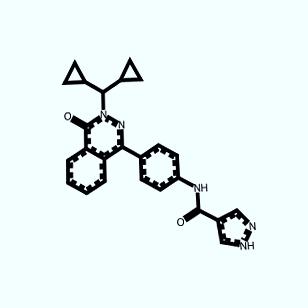 O=C(Nc1ccc(-c2nn(C(C3CC3)C3CC3)c(=O)c3ccccc23)cc1)c1cn[nH]c1